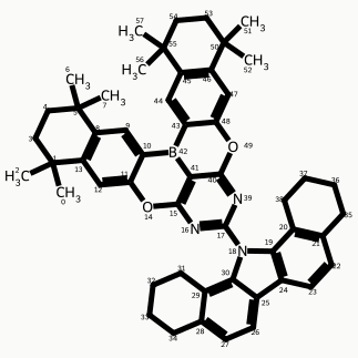 CC1(C)CCC(C)(C)c2cc3c(cc21)Oc1nc(-n2c4c5c(ccc4c4ccc6c(c42)CCCC6)CCCC5)nc2c1B3c1cc3c(cc1O2)C(C)(C)CCC3(C)C